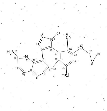 Cn1ncc(-c2cccc3ccc(N)nc23)c1-c1c(F)c(Cl)cc(OC2CC2)c1C#N